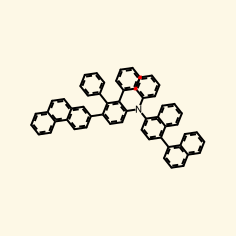 c1ccc(-c2c(-c3ccc4c(ccc5ccccc54)c3)ccc(N(c3ccccc3)c3ccc(-c4cccc5ccccc45)c4ccccc34)c2-c2ccccc2)cc1